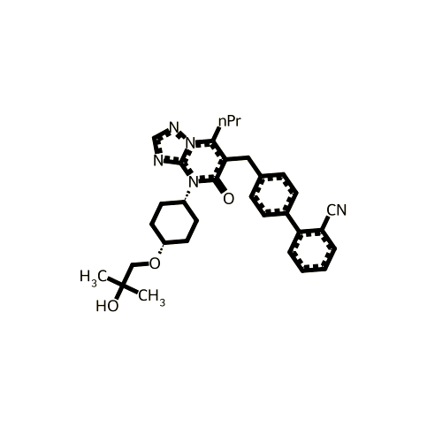 CCCc1c(Cc2ccc(-c3ccccc3C#N)cc2)c(=O)n([C@H]2CC[C@@H](OCC(C)(C)O)CC2)c2ncnn12